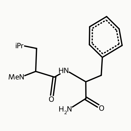 CNC(CC(C)C)C(=O)NC(Cc1ccccc1)C(N)=O